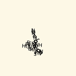 CCc1cc(Nc2ncc(Br)c(Nc3ccc4nccnc4c3P(C)(C)=S)n2)c(OC)cc1N1CCC(N2CCN(C)CC2)CC1.O=C(O)C(F)(F)F